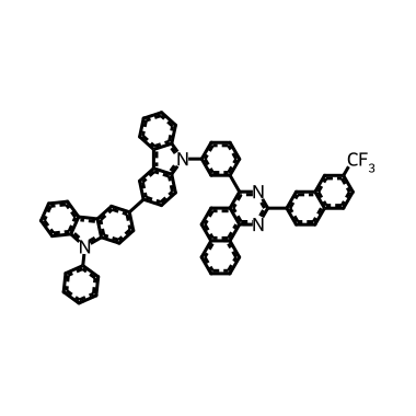 FC(F)(F)c1ccc2ccc(-c3nc(-c4cccc(-n5c6ccccc6c6cc(-c7ccc8c(c7)c7ccccc7n8-c7ccccc7)ccc65)c4)c4ccc5ccccc5c4n3)cc2c1